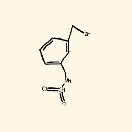 O=[SH](=O)Nc1cccc(CBr)c1